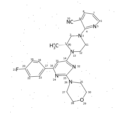 C[C@@H]1CN(c2ncccc2C#N)CCN1c1cc(-c2ccc(F)cc2)nc(N2CCOCC2)n1